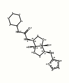 O=C(NC1CCCCC1)N[C@H]1CO[C@H]2[C@@H]1OC[C@@H]2Nc1nccs1